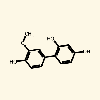 COc1[c]c(-c2ccc(O)cc2O)ccc1O